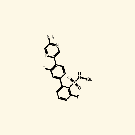 CC(C)(C)NS(=O)(=O)c1c(F)cccc1-c1ccc(-c2cnc(N)cn2)c(F)c1